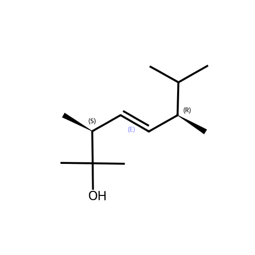 CC(C)[C@@H](C)/C=C/[C@H](C)C(C)(C)O